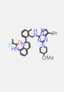 COC1CCN(c2nc(NCc3c(C)cccc3-c3ccc4cccc(NC(=O)C(C)F)c4n3)n3ncc(C(C)C)c3n2)CC1